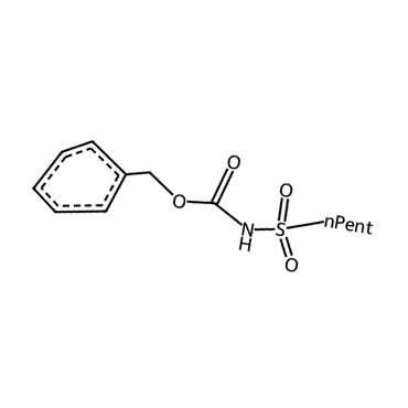 CCCCCS(=O)(=O)NC(=O)OCc1ccccc1